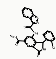 COC(=O)c1cc(NC(=O)c2nsc3ccccc23)c2c(n1)C(=O)NC2c1ccccc1Cl